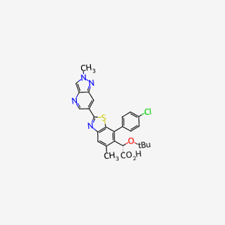 Cc1cc2nc(-c3cnc4cn(C)nc4c3)sc2c(-c2ccc(Cl)cc2)c1[C@H](OC(C)(C)C)C(=O)O